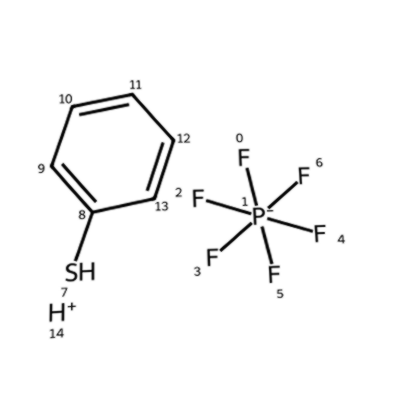 F[P-](F)(F)(F)(F)F.Sc1ccccc1.[H+]